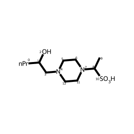 CCCC(O)CN1CCN(C(C)S(=O)(=O)O)CC1